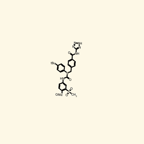 COc1ccc(NC(=O)N(Cc2ccc(C(=O)Nc3nn[nH]n3)cc2)c2ccc(C(C)(C)C)cc2)cc1S(C)(=O)=O